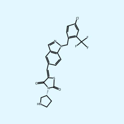 O=C1S/C(=C\c2ccc3c(cnn3Cc3ccc(Cl)cc3C(F)(F)F)c2)C(=O)N1[C@@H]1CCNC1